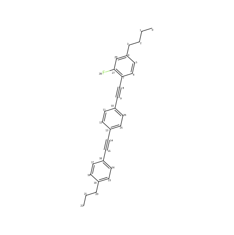 CCCCc1ccc(C#Cc2ccc(C#Cc3ccc(CCC)cc3)cc2)c(F)c1